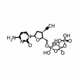 C#C[C@@H]1C[C@H](n2ccc(N)nc2=O)O[C@@H]1COP(=O)(O)OP(=O)(O)OP(=O)(O)O